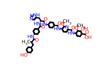 COc1nc(C(=O)Nc2ccc(C(=O)O)c(O)c2OC)ccc1NC(=O)c1ccc(NC(=O)C(Cc2cnn[nH]2)NC(=O)c2ccc(NC(=O)/C(C)=C/c3ccc(O)cc3)cc2)cc1